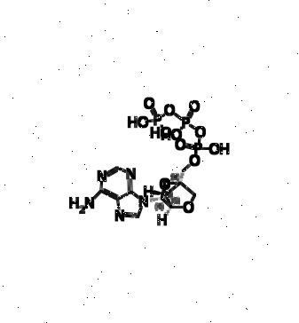 Nc1ncnc2c1ncn2[C@@H]1O[C@@]2(COP(=O)(O)OP(=O)(O)OP(=O)(O)O)CO[C@@H]1[C@@H]2F